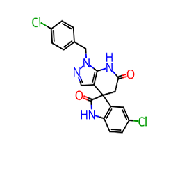 O=C1CC2(C(=O)Nc3ccc(Cl)cc32)c2cnn(Cc3ccc(Cl)cc3)c2N1